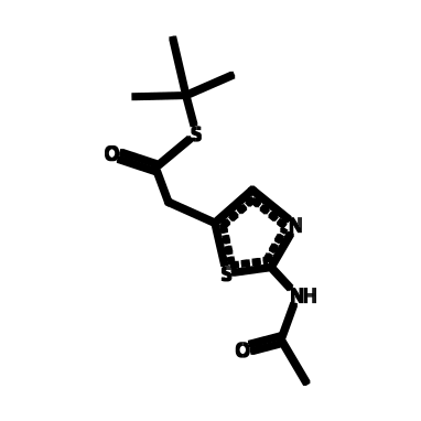 CC(=O)Nc1ncc(CC(=O)SC(C)(C)C)s1